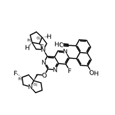 C#Cc1cccc2cc(O)cc(-c3ncc4c(N5C[C@H]6CC[C@@H](C5)C6F)nc(OC[C@@]56CCCN5C[C@H](F)C6)nc4c3F)c12